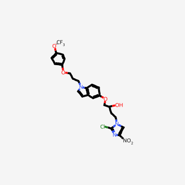 O=[N+]([O-])c1cn(CCC(O)COc2ccc3c(ccn3CCCOc3ccc(OC(F)(F)F)cc3)c2)c(Cl)n1